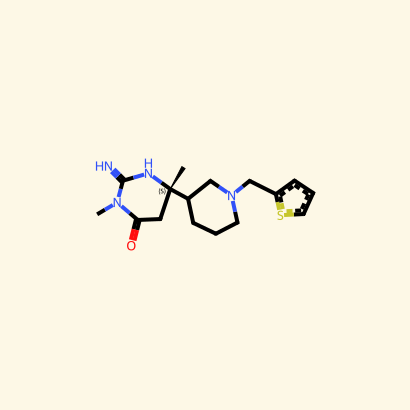 CN1C(=N)N[C@](C)(C2CCCN(Cc3cccs3)C2)CC1=O